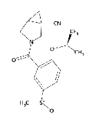 C[C@@H](Oc1ccc([S+](C)[O-])cc1C(=O)N1CC2CC2(C#N)C1)C(F)(F)F